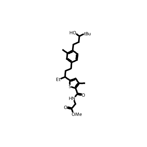 CCC(CCc1ccc(CCC(O)C(C)(C)C)c(C)c1)c1cc(C)c(C(=O)NCC(=O)OC)s1